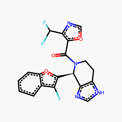 O=C(c1ocnc1C(F)F)N1CCc2[nH]cnc2[C@H]1c1oc2ccccc2c1F